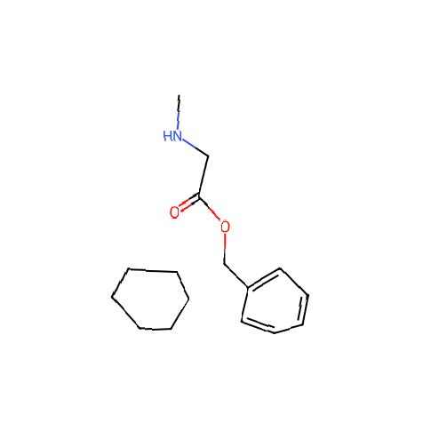 C1CCCCC1.CNCC(=O)OCc1ccccc1